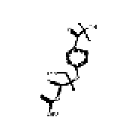 C=C(C=O)OC(=O)C(C)(CN)Oc1ccc(C(=O)C(C)(C)O)cc1